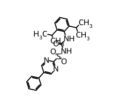 CC(C)c1cccc(C(C)C)c1NC(=O)NS(=O)(=O)c1ncc(-c2ccccc2)cn1